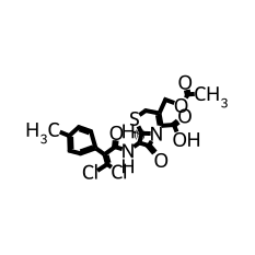 CC(=O)OCC1=C(C(=O)O)N2C(=O)C(NC(=O)C(=C(Cl)Cl)c3ccc(C)cc3)[C@H]2SC1